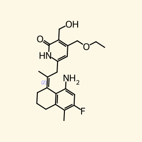 CCOCc1cc(C/C(C)=C2/CCCc3c(C)c(F)cc(N)c32)[nH]c(=O)c1CO